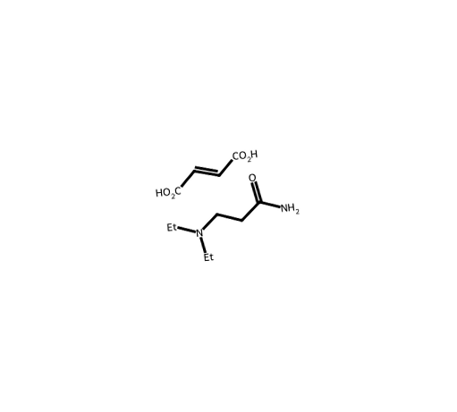 CCN(CC)CCC(N)=O.O=C(O)/C=C/C(=O)O